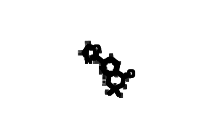 CC1(C)CC(=O)c2ccc(-c3ncco3)nc2C1